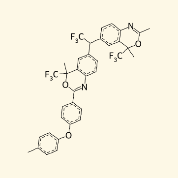 CC1=Nc2ccc(C(c3ccc4c(c3)C(C)(C(F)(F)F)OC(c3ccc(Oc5ccc(C)cc5)cc3)=N4)C(F)(F)F)cc2C(C)(C(F)(F)F)O1